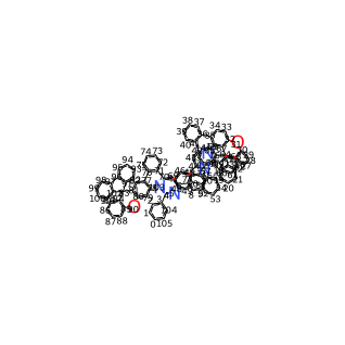 c1ccc(-c2nc(-c3cccc(-c4cccc5c4-c4ccccc4C54c5ccccc5Oc5ccc(-c6ccccc6-c6cc(-c7ccccc7-c7ccccc7)nc(-c7ccccc7)n6)cc54)c3)cc(-c3ccccc3-c3ccc4c(c3)C3(c5ccccc5O4)c4ccccc4-c4ccccc43)n2)cc1